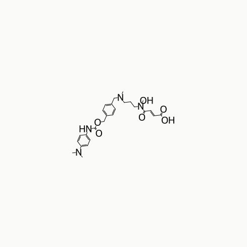 CN(CCCN(O)C(=O)/C=C/C(=O)O)Cc1ccc(COC(=O)Nc2ccc(N(C)C)cc2)cc1